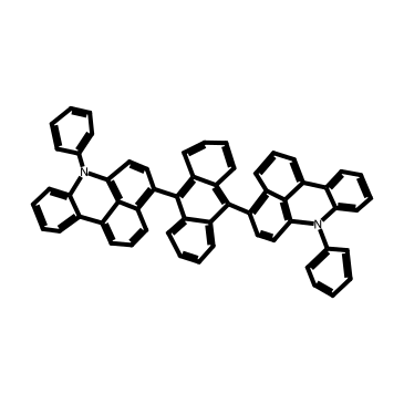 c1ccc(N2c3ccccc3-c3cccc4c(-c5c6ccccc6c(-c6ccc7c8c(cccc68)-c6ccccc6N7c6ccccc6)c6ccccc56)ccc2c34)cc1